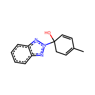 CC1=CCC(O)(n2nc3ccccc3n2)C=C1